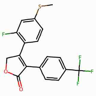 CSc1ccc(C2=C(c3ccc(C(F)(F)F)cc3)C(=O)OC2)c(F)c1